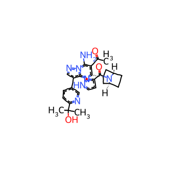 CC(=O)c1c([C@@H]2C[C@H]3CC[C@@H](C2)N3C(=O)c2cc[nH]n2)nc2c(-c3ccc(C(C)(C)O)nc3)cnn2c1N